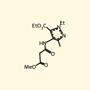 CCOC(=O)c1c(NC(=O)CC(=O)OC)c(C)nn1CC